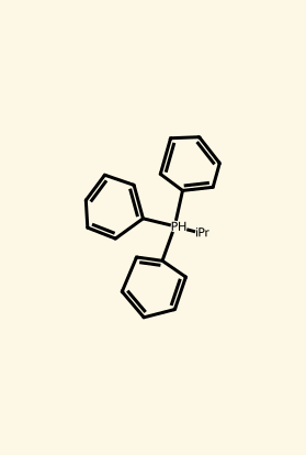 [CH2]C(C)[PH](c1ccccc1)(c1ccccc1)c1ccccc1